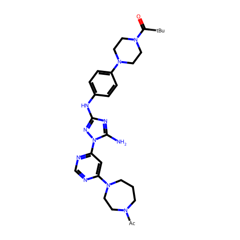 CC(=O)N1CCCN(c2cc(-n3nc(Nc4ccc(N5CCN(C(=O)C(C)(C)C)CC5)cc4)nc3N)ncn2)CC1